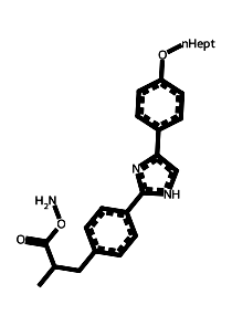 CCCCCCCOc1ccc(-c2c[nH]c(-c3ccc(CC(C)C(=O)ON)cc3)n2)cc1